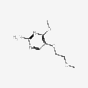 COCCOc1cnc(N)nc1OC